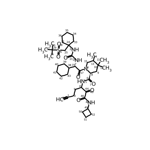 C#CCCC(NC(=O)[C@@H]1CC(C)(C)C(C)CN1C(=O)[C@@H](NC(=O)NC1(CS(=O)(=O)C(C)(C)C)CCCCC1)C1CCCCC1)C(=O)C(=O)NC1CCC1